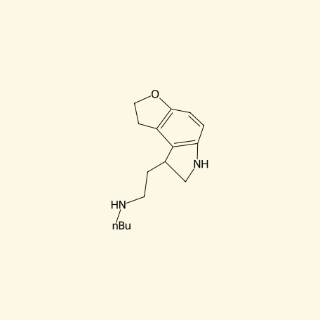 CCCCNCCC1CNc2ccc3c(c21)CCO3